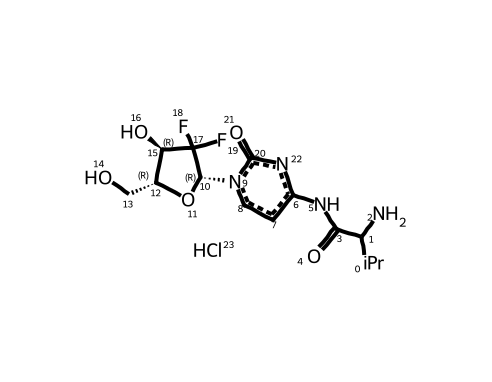 CC(C)C(N)C(=O)Nc1ccn([C@@H]2O[C@H](CO)[C@@H](O)C2(F)F)c(=O)n1.Cl